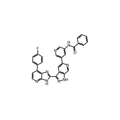 O=C(Nc1cncc(-c2cc3c(-c4nc5c(-c6ccc(F)cc6)ccnc5[nH]4)n[nH]c3cn2)c1)c1ccccc1